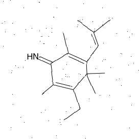 CCC1=C(C)C(=N)C(C)=C(C=C(C)C)C1(C)C